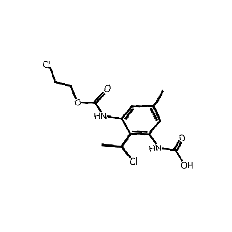 Cc1cc(NC(=O)O)c(C(C)Cl)c(NC(=O)OCCCl)c1